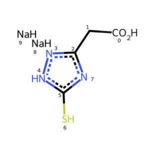 O=C(O)Cc1n[nH]c(S)n1.[NaH].[NaH]